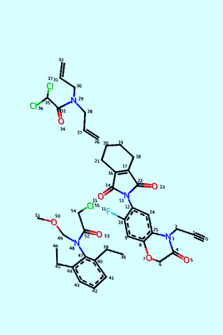 C#CCN1C(=O)COc2cc(F)c(N3C(=O)C4=C(CCCC4)C3=O)cc21.C=CCN(CC=C)C(=O)C(Cl)Cl.CCc1cccc(CC)c1N(COC)C(=O)CCl